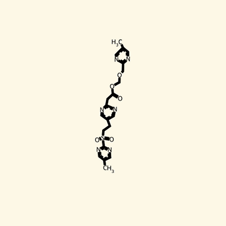 Cc1cnc(COCOC(=O)Cc2ncc(CCS(=O)(=O)c3ncc(C)cn3)cn2)nc1